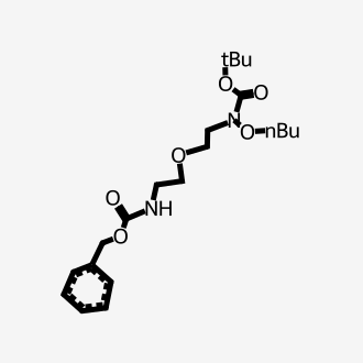 CCCCON(CCOCCNC(=O)OCc1ccccc1)C(=O)OC(C)(C)C